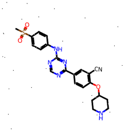 CS(=O)(=O)c1ccc(Nc2ncnc(-c3ccc(OC4CCNCC4)c(C#N)c3)n2)cc1